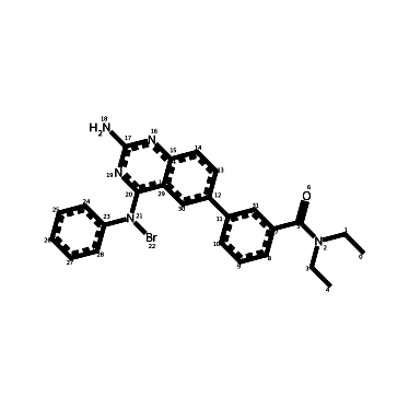 CCN(CC)C(=O)c1cccc(-c2ccc3nc(N)nc(N(Br)c4ccccc4)c3c2)c1